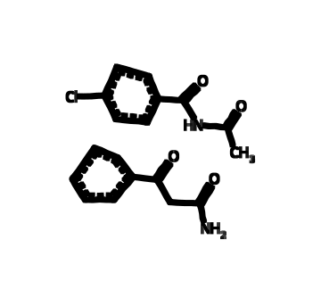 CC(=O)NC(=O)c1ccc(Cl)cc1.NC(=O)CC(=O)c1ccccc1